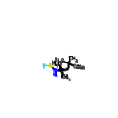 COC(C)(C)CC(C)(C)NSF